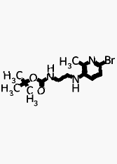 Cc1nc(Br)ccc1NCCNC(=O)OC(C)(C)C